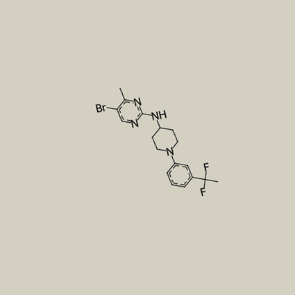 Cc1nc(NC2CCN(c3cccc(C(C)(F)F)c3)CC2)ncc1Br